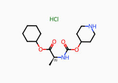 C[C@H](NC(=O)OC1CCNCC1)C(=O)OC1CCCCC1.Cl